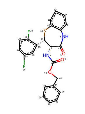 O=C(N[C@H]1C(=O)Nc2ccccc2S[C@H]1c1cc(F)ccc1F)OCc1ccccc1